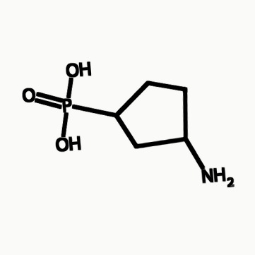 NC1CCC(P(=O)(O)O)C1